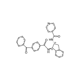 O=C(N[C@@H]1c2ccccc2C[C@H]1NC(=O)c1ccncc1)c1ccc(C(=O)c2ccccc2)cc1